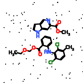 CCOCOC(=O)c1ccccc1Nc1c(Cl)ccc(C)c1Cl.COC(=O)c1cc2[nH]ccc2cn1